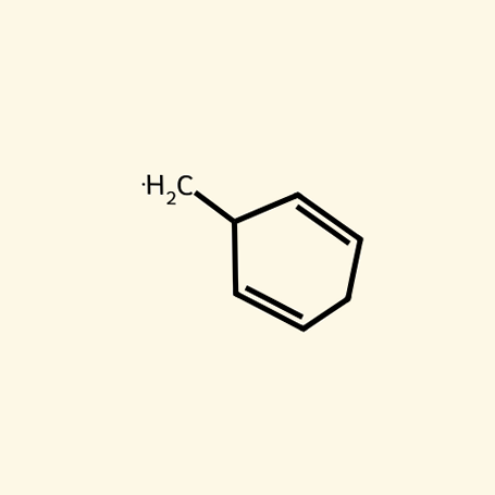 [CH2]C1C=CCC=C1